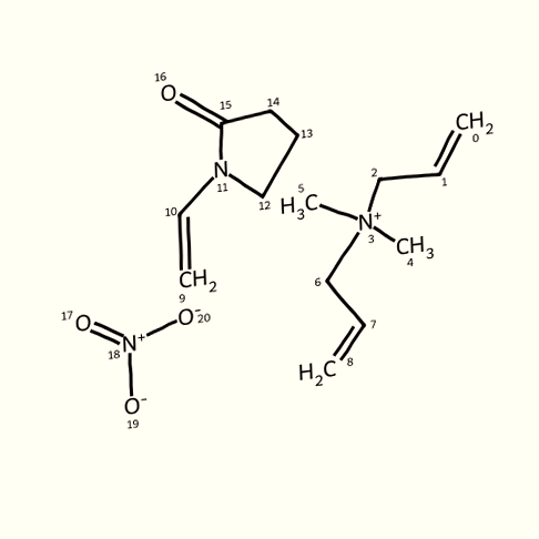 C=CC[N+](C)(C)CC=C.C=CN1CCCC1=O.O=[N+]([O-])[O-]